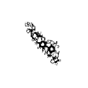 Cc1ccc2c(ncn2C2NCCO2)c1-c1c(F)cc2c(c1Cl)OC[C@H]1CN(C(=O)OC(C)(C)C)CCN1C2